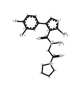 Nc1scc(-c2ccc(F)c(Cl)c2)c1C(=O)N(N)CC(=O)N1CCCC1